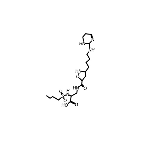 CCCCS(=O)(=O)NC(CNC(=O)C1CC(CCCCNC2N=CCCN2)NO1)C(=O)O